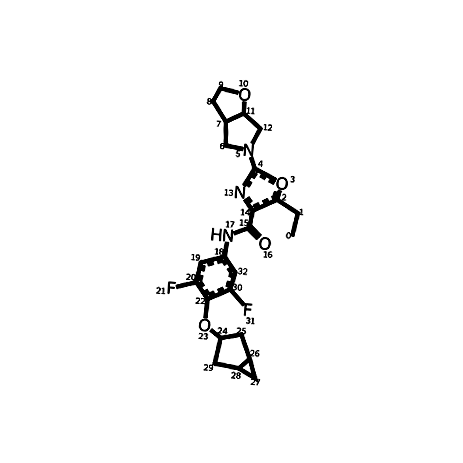 CCc1oc(N2CC3CCOC3C2)nc1C(=O)Nc1cc(F)c(OC2CC3CC3C2)c(F)c1